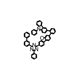 c1ccc(-c2cccc(-c3nc(-c4ccccc4)nc(-c4ccc5c(c4)oc4cc(-c6ccccc6-c6ccc7c(c6)c6ccccc6n7-c6ccccc6)ccc45)n3)c2)cc1